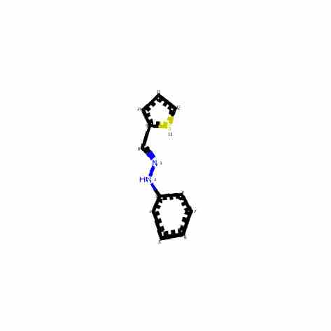 C(=N\Nc1ccccc1)/c1cccs1